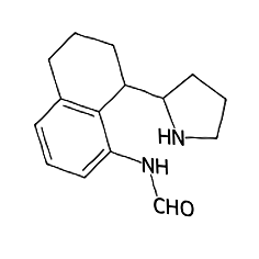 O=CNc1cccc2c1C(C1CCCN1)CCC2